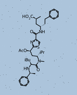 CC[C@H](C)[C@H](N[C@@H](C)c1ccccc1)C(=O)N(C)[C@H](C[C@@H](OC(C)=O)c1nc(C(=O)N[C@@H](CCc2ccccc2)C[C@H](C)C(=O)O)cs1)C(C)C